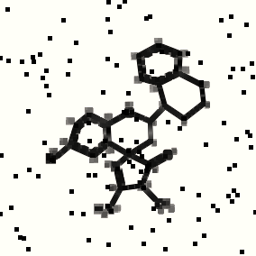 CN1C(=O)C2(CC(C3CCCc4ccccc43)Oc3ccc(Br)cc32)N=C1N